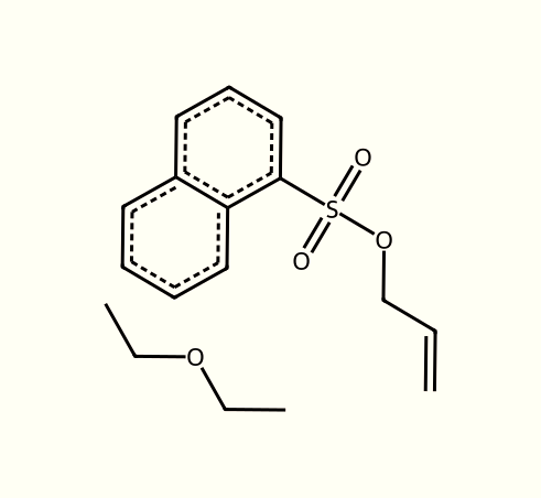 C=CCOS(=O)(=O)c1cccc2ccccc12.CCOCC